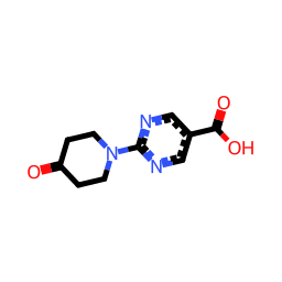 O=C1CCN(c2ncc(C(=O)O)cn2)CC1